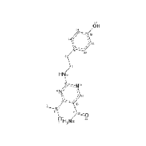 C[S+]([O-])c1nc(NCCc2ccc(O)cc2)ncc1C(N)=O